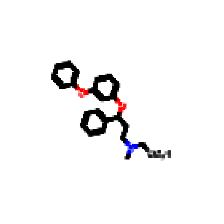 CN(CCC(Oc1cccc(Oc2ccccc2)c1)c1ccccc1)CC(=O)O